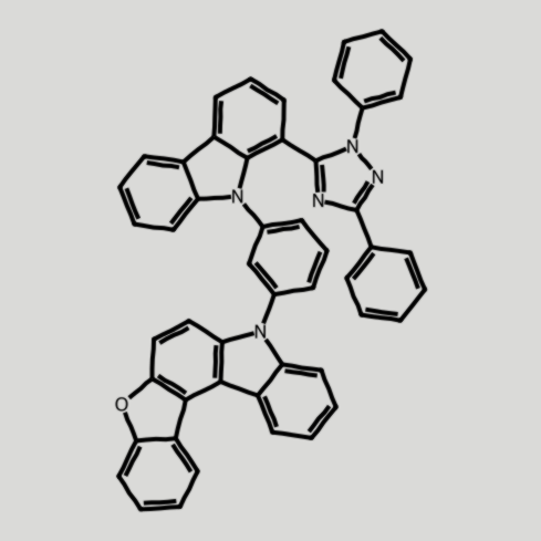 c1ccc(-c2nc(-c3cccc4c5ccccc5n(-c5cccc(-n6c7ccccc7c7c8c(ccc76)oc6ccccc68)c5)c34)n(-c3ccccc3)n2)cc1